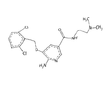 CN(C)CCNC(=O)c1cnc(N)c(OCc2c(Cl)cccc2Cl)c1